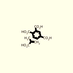 C=C(C)C(=O)O.O=C(O)c1ccc(C(=O)O)c(C(=O)O)c1